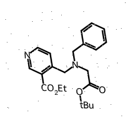 CCOC(=O)c1cnccc1CN(CC(=O)OC(C)(C)C)Cc1ccccc1